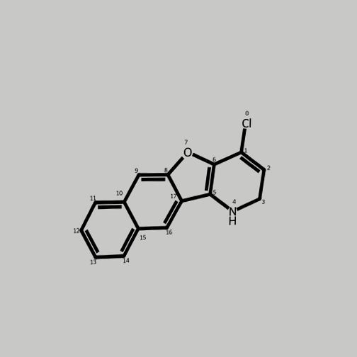 ClC1=CCNc2c1oc1cc3ccccc3cc21